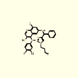 N#Cc1cnc2c(Cl)cc(NC(c3ccccc3)c3cn(CCCF)nn3)cc2c1Nc1ccc(F)c(Cl)c1